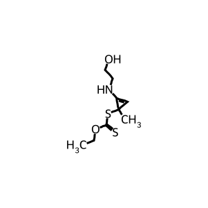 CCOC(=S)SC1(C)C=C1NCCO